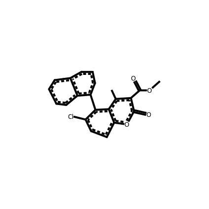 COC(=O)c1c(C)c2c(-c3cccc4ccccc34)c(Cl)ccc2oc1=O